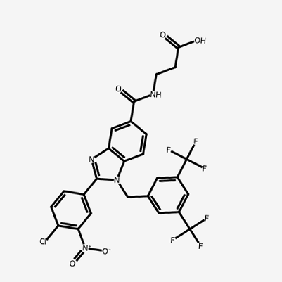 O=C(O)CCNC(=O)c1ccc2c(c1)nc(-c1ccc(Cl)c([N+](=O)[O-])c1)n2Cc1cc(C(F)(F)F)cc(C(F)(F)F)c1